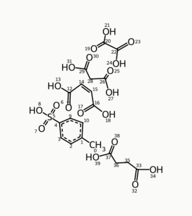 Cc1ccc(S(=O)(=O)O)cc1.O=C(O)/C=C\C(=O)O.O=C(O)C(=O)O.O=C(O)CC(=O)O.O=C(O)CCC(=O)O